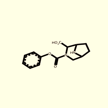 O=C(O)C1C2CCC(CN1C(=O)Oc1ccccc1)N2